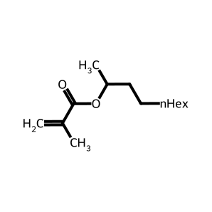 C=C(C)C(=O)OC(C)CCCCCCCC